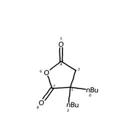 CCCCC1(CCCC)CC(=O)OC1=O